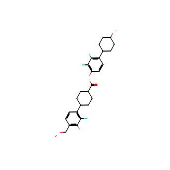 CCOCc1ccc(C2CCC(C(=O)Oc3ccc(C4CCC(O)CC4)c(F)c3F)CC2)c(F)c1F